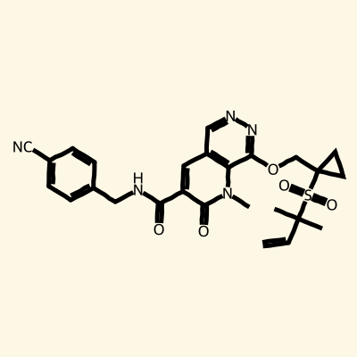 C=CC(C)(C)S(=O)(=O)C1(COc2nncc3cc(C(=O)NCc4ccc(C#N)cc4)c(=O)n(C)c23)CC1